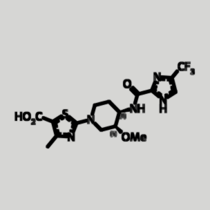 CO[C@H]1CN(c2nc(C)c(C(=O)O)s2)CC[C@H]1NC(=O)c1nc(C(F)(F)F)c[nH]1